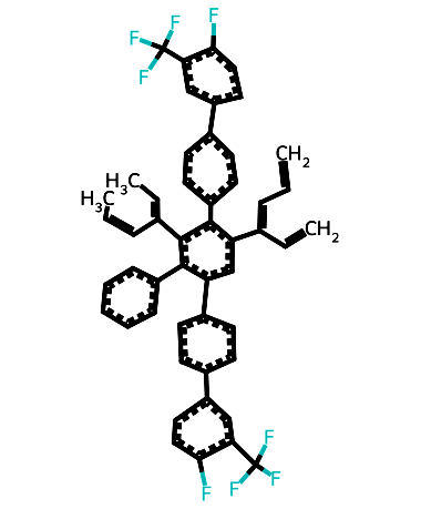 C=C/C=C(\C=C)c1cc(-c2ccc(-c3ccc(F)c(C(F)(F)F)c3)cc2)c(-c2ccccc2)c(C(/C=C\C)=C/C)c1-c1ccc(-c2ccc(F)c(C(F)(F)F)c2)cc1